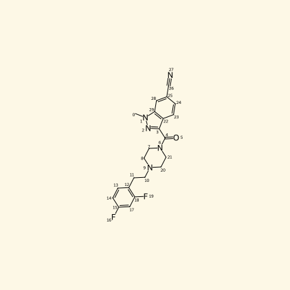 Cn1nc(C(=O)N2CCN(CCc3ccc(F)cc3F)CC2)c2ccc(C#N)cc21